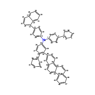 c1ccc(-c2ccc(N(c3ccc(-c4cccc5ccccc45)cc3)c3ccc(-c4ccccc4)c(-c4ccc5c(ccc6c7ccccc7ccc56)c4)c3)cc2)cc1